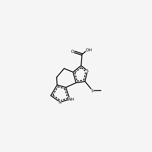 CSc1sc(C(=O)O)c2c1-c1[nH]ncc1CC2